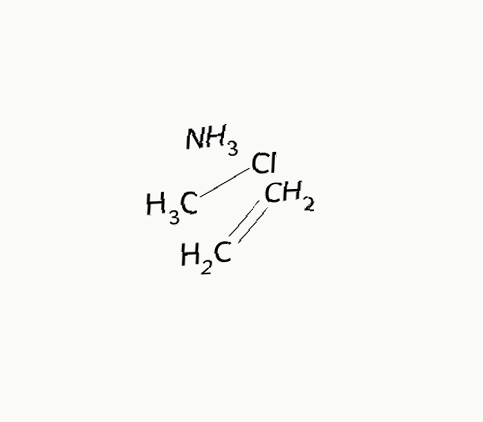 C=C.CCl.N